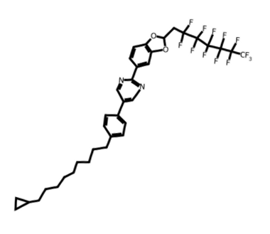 FC(F)(F)C(F)(F)C(F)(F)C(F)(F)C(F)(F)C(F)(F)CC1Oc2ccc(-c3ncc(-c4ccc(CCCCCCCCCC5CC5)cc4)cn3)cc2O1